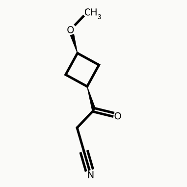 CO[C@H]1C[C@@H](C(=O)CC#N)C1